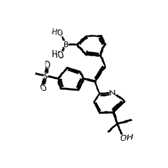 CC(C)(O)c1ccc(/C(=C/c2cccc(B(O)O)c2)c2ccc(S(C)(=O)=O)cc2)nc1